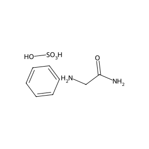 NCC(N)=O.O=S(=O)(O)O.c1ccccc1